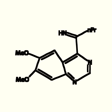 CCCC(=N)c1ncnc2cc(OC)c(OC)cc12